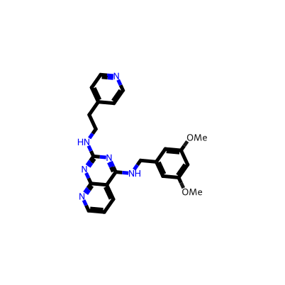 COc1cc(CNc2nc(NCCc3ccncc3)nc3ncccc23)cc(OC)c1